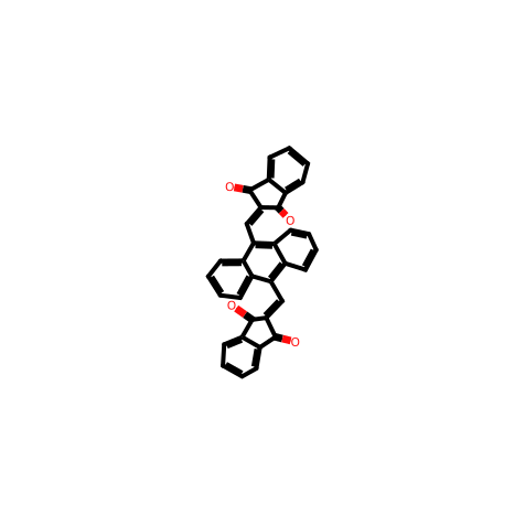 O=C1C(=Cc2c3ccccc3c(C=C3C(=O)c4ccccc4C3=O)c3ccccc23)C(=O)c2ccccc21